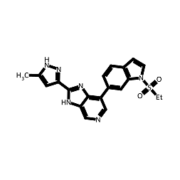 CCS(=O)(=O)n1ccc2ccc(-c3cncc4[nH]c(-c5cc(C)[nH]n5)nc34)cc21